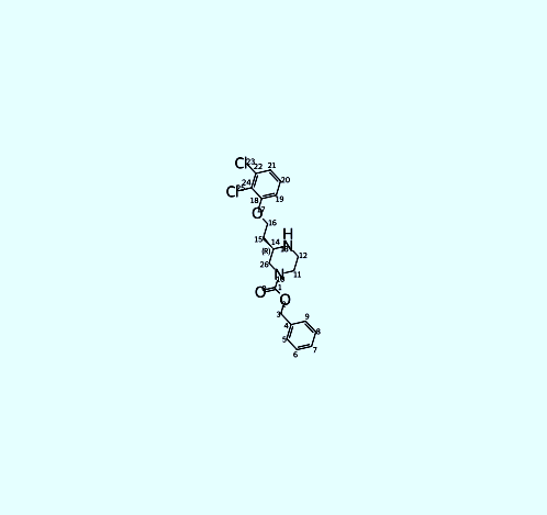 O=C(OCc1ccccc1)N1CCN[C@H](CCOc2cccc(Cl)c2Cl)C1